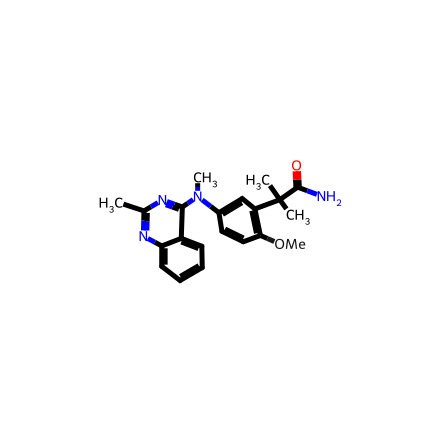 COc1ccc(N(C)c2nc(C)nc3ccccc23)cc1C(C)(C)C(N)=O